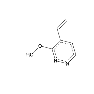 C=Cc1ccnnc1OO